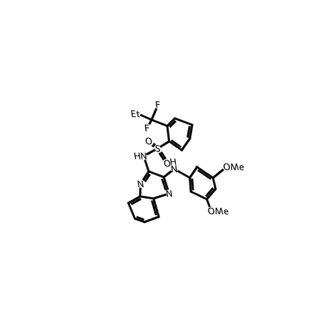 CCC(F)(F)c1ccccc1S(=O)(=O)Nc1nc2ccccc2nc1Nc1cc(OC)cc(OC)c1